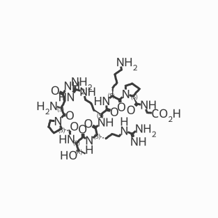 C[C@@H](O)[C@H](NC(=O)[C@@H]1CCCN1C(=O)[C@@H](N)CC(N)=O)C(=O)N[C@@H](CCCNC(=N)N)C(=O)N[C@@H](CCCNC(=N)N)C(=O)N[C@@H](CCCCN)C(=O)N1CCC[C@H]1C(=O)NCC(=O)O